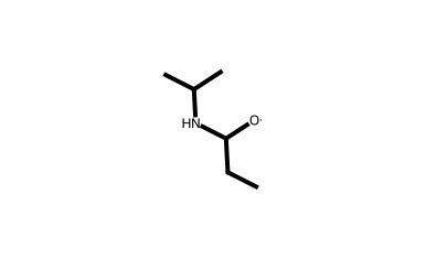 CCC([O])NC(C)C